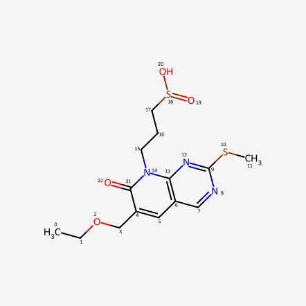 CCOCc1cc2cnc(SC)nc2n(CCCS(=O)O)c1=O